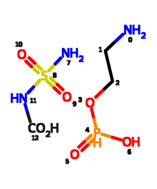 NCCO[PH](=O)O.NS(=O)(=O)NC(=O)O